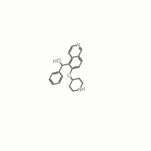 OC(c1ccccc1)c1c(OC2CCNCC2)ccc2cnccc12